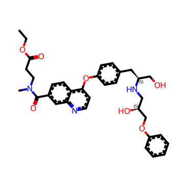 CCOC(=O)CCN(C)C(=O)c1ccc2c(Oc3ccc(C[C@@H](CO)NC[C@H](O)COc4ccccc4)cc3)ccnc2c1